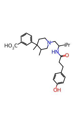 CC(C)C(CN1CCC(C)(c2cccc(C(=O)O)c2)C(C)C1)NC(=O)CCc1ccc(O)cc1